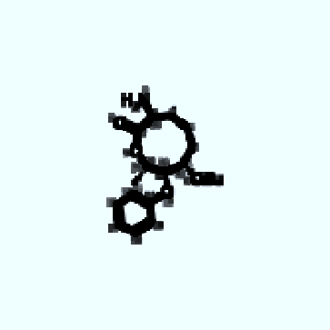 CC(C)CO[C@H]1CCC[C@H](N)C(=O)O[C@@H](C)[C@@H]1Oc1ccccc1